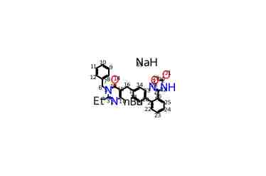 CCCCc1nc(CC)n(Cc2ccccc2)c(=O)c1Cc1ccc(-c2ccccc2-c2noc(=O)[nH]2)cc1.[NaH]